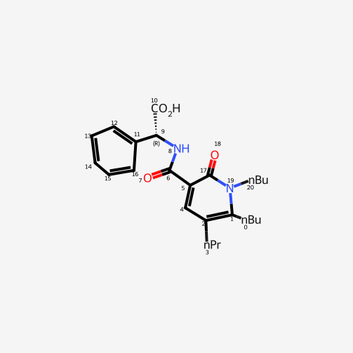 CCCCc1c(CCC)cc(C(=O)N[C@@H](C(=O)O)c2ccccc2)c(=O)n1CCCC